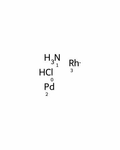 Cl.N.[Pd].[Rh]